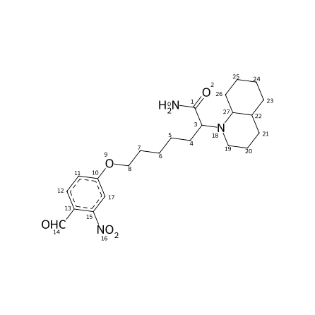 NC(=O)C(CCCCCOc1ccc(C=O)c([N+](=O)[O-])c1)N1CCCC2CCCCC21